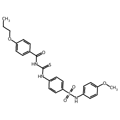 CCCOc1ccc(C(=O)NC(=S)Nc2ccc(S(=O)(=O)Nc3ccc(OC)cc3)cc2)cc1